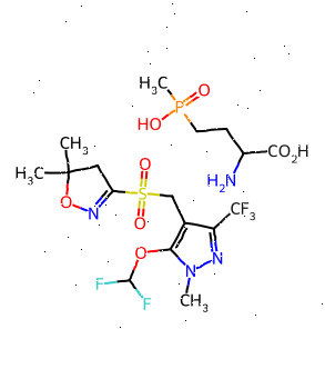 CP(=O)(O)CCC(N)C(=O)O.Cn1nc(C(F)(F)F)c(CS(=O)(=O)C2=NOC(C)(C)C2)c1OC(F)F